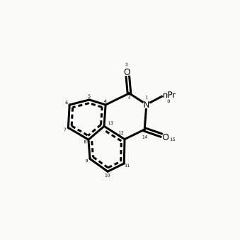 CCCN1C(=O)c2cccc3cccc(c23)C1=O